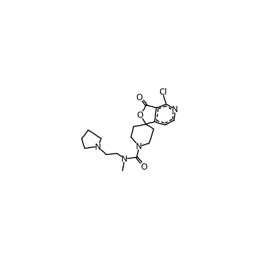 CN(CCN1CCCC1)C(=O)N1CCC2(CC1)OC(=O)c1c2ccnc1Cl